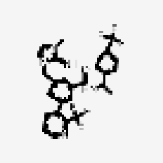 CC(NC(=O)c1cc(Cn2ccn(C)c2=N)cc(-c2cccnc2C(F)(F)F)c1)c1ccc(C(F)(F)F)cc1